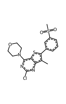 Cc1c(-c2cccc(S(C)(=O)=O)c2)sc2c(N3CCOCC3)nc(Cl)nc12